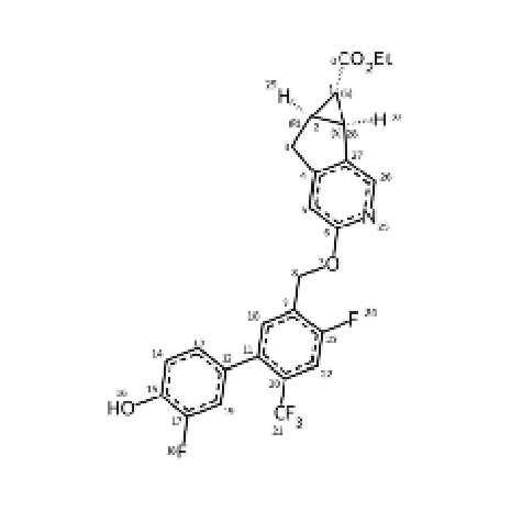 CCOC(=O)[C@H]1[C@@H]2Cc3cc(OCc4cc(-c5ccc(O)c(F)c5)c(C(F)(F)F)cc4F)ncc3[C@@H]21